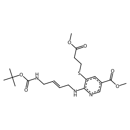 COC(=O)CCSc1cc(C(=O)OC)cnc1NCC=CCNC(=O)OC(C)(C)C